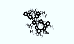 Cc1cc2c3c(c1)N1c4cc5c(cc4C)C(C)(C)CCC5(C)c4cc5c(cc4C(C)(C)C)C4(C)CCCCC4(C)C5c4ccc(c1c4)B3c1cc3c(cc1N2c1ccc2c(c1)C(C)(C)c1ccccc1-2)C(C)(C)CC3(C)C